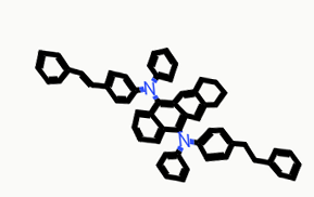 C(=C\c1ccc(N(c2ccccc2)c2c3ccccc3c(N(c3ccccc3)c3ccc(CCc4ccccc4)cc3)c3cc4c(cc23)CCCC4)cc1)/c1ccccc1